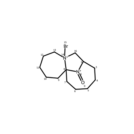 O=[N+]1C2CCCCCC13CCCCC[N+]3(Br)C2